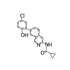 O=C(Nc1cc2ccc(-c3cc(Cl)ccc3O)cc2cn1)C1CC1